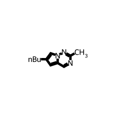 CCCCc1cc2cnc(C)nn2c1